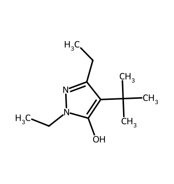 CCc1nn(CC)c(O)c1C(C)(C)C